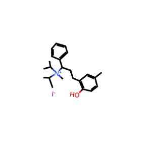 Cc1ccc(O)c(CCC(c2ccccc2)[N+](C)(C(C)C)C(C)C)c1.[I-]